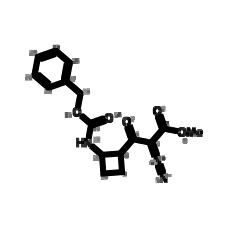 COC(=O)C(=[N+]=[N-])C(=O)C1CCC1NC(=O)OCc1ccccc1